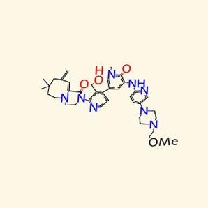 C=C1/C=C2/C(=O)N(c3nccc(-c4cc(Nc5ccc(N6CCN(CCOC)CC6)cn5)c(=O)n(C)c4)c3CO)CCN2CCC(C)(C)C1